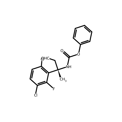 C[C@@](CC=O)(NC(=O)Oc1ccccc1)c1c(Cl)ccc(Cl)c1F